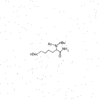 CCCCCCCCCCCCCCC(C(N)=O)N(CCCC)C(C)=O